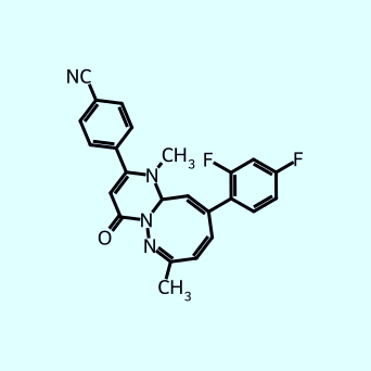 CC1=NN2C(=O)C=C(c3ccc(C#N)cc3)N(C)C2C=C(c2ccc(F)cc2F)C=C1